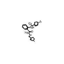 COc1ccc(C(=O)Nc2ccccc2C(=O)NN=Cc2ccc(C)cc2)cc1